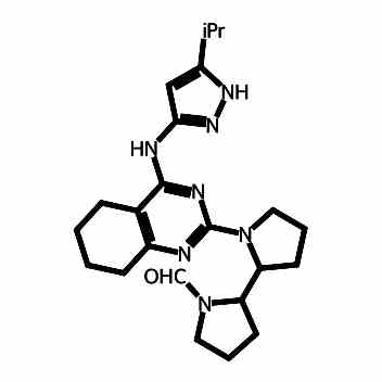 CC(C)c1cc(Nc2nc(N3CCCC3C3CCCN3C=O)nc3c2CCCC3)n[nH]1